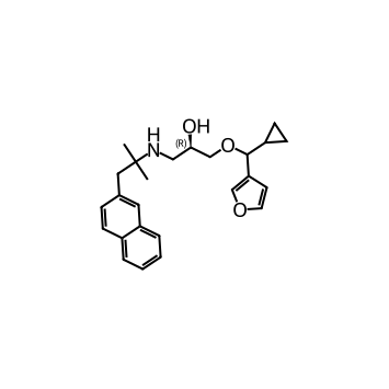 CC(C)(Cc1ccc2ccccc2c1)NC[C@@H](O)COC(c1ccoc1)C1CC1